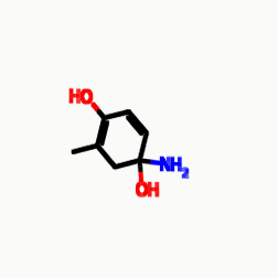 CC1=C(O)C=CC(N)(O)C1